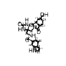 O=C1NC(=O)C(CNC(=O)c2ccc3cc[nH]c3c2)(CN2Cc3cc(O)ccc3C2=O)N1